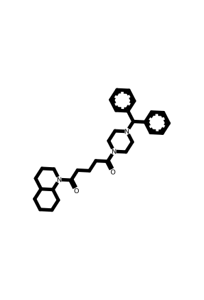 O=C(CCCC(=O)N1CCCC2CCCCC21)N1CCN(C(c2ccccc2)c2ccccc2)CC1